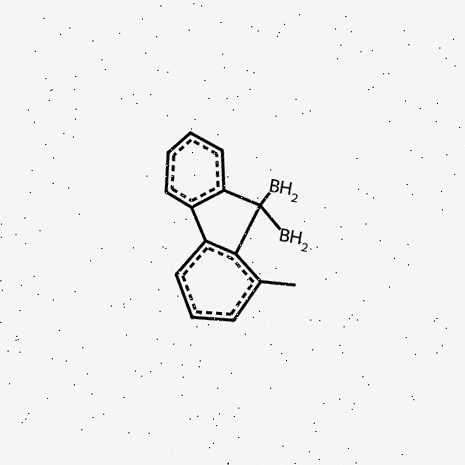 BC1(B)c2ccccc2-c2cccc(C)c21